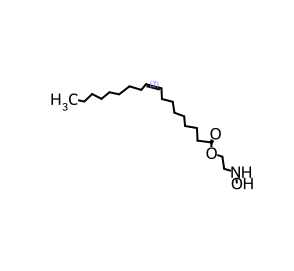 CCCCCCCC/C=C\CCCCCCCC(=O)OCCNO